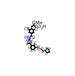 COC(=Cc1c(Cl)cc(C(=O)Nc2nc(-c3cccc(COCCC4CCCC4)c3F)cs2)cc1Cl)C(=O)O